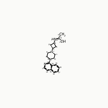 CB(O)NC1CC(N2CCN(c3nccc4ccccc34)CC2)C1